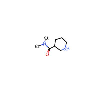 CCN(CC)C(=O)C1CCCNC1